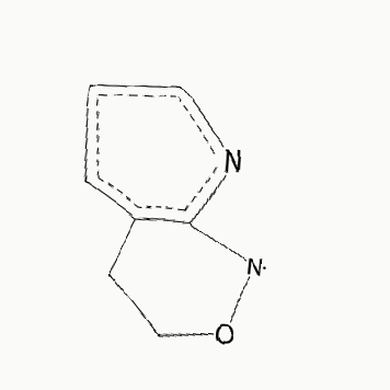 c1cnc2c(c1)CCO[N]2